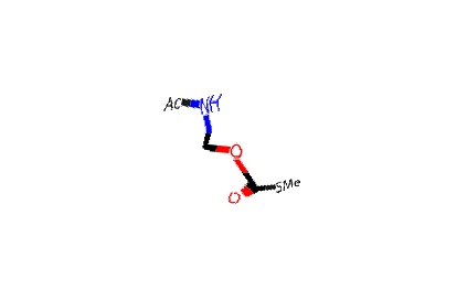 [CH2]C(=O)NCOC(=O)SC